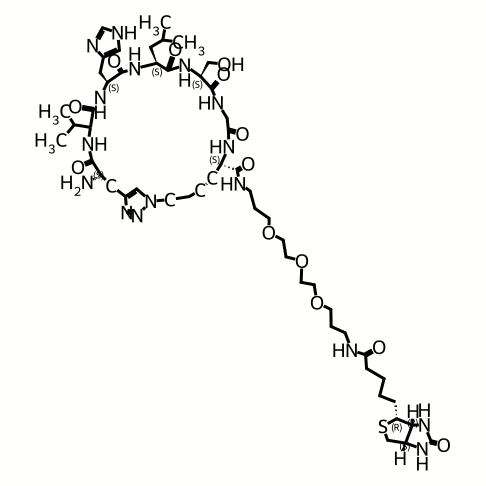 CC(C)C[C@@H]1NC(=O)[C@H](Cc2c[nH]cn2)NC(=O)C(C(C)C)NC(=O)[C@@H](N)Cc2cn(nn2)CCCC[C@@H](C(=O)NCCCOCCOCCOCCCNC(=O)CCCC[C@H]2SC[C@H]3NC(=O)N[C@H]32)NC(=O)CNC(=O)[C@H](CO)NC1=O